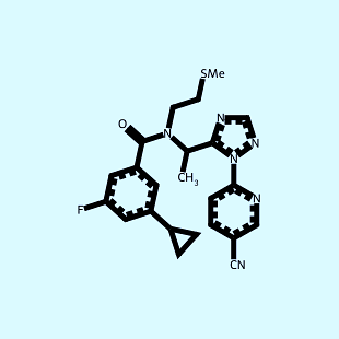 CSCCN(C(=O)c1cc(F)cc(C2CC2)c1)C(C)c1ncnn1-c1ccc(C#N)cn1